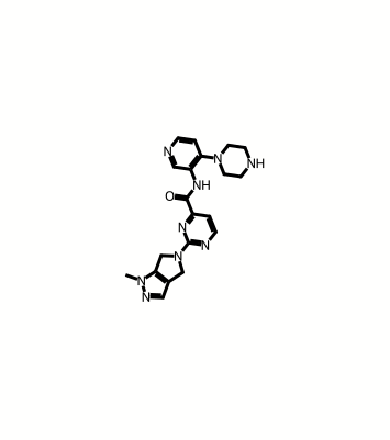 Cn1ncc2c1CN(c1nccc(C(=O)Nc3cnccc3N3CCNCC3)n1)C2